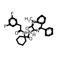 C[N+]1=C2ON(C(=O)C3(NC(=O)Cc4cc(F)cc(F)c4)CCCCC3)[C@@H]2N=C(c2ccccc2)c2ccccc21